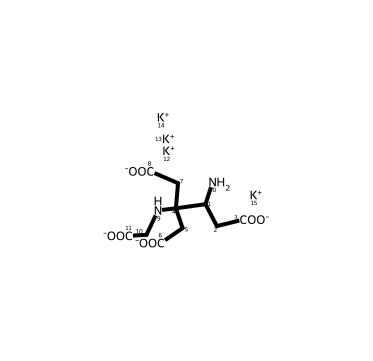 NC(CC(=O)[O-])C(CC(=O)[O-])(CC(=O)[O-])NCC(=O)[O-].[K+].[K+].[K+].[K+]